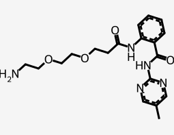 Cc1cnc(NC(=O)c2ccccc2NC(=O)CCOCCOCCN)nc1